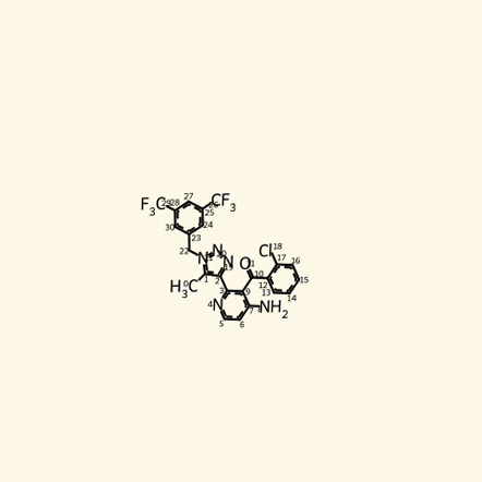 Cc1c(-c2nccc(N)c2C(=O)c2ccccc2Cl)nnn1Cc1cc(C(F)(F)F)cc(C(F)(F)F)c1